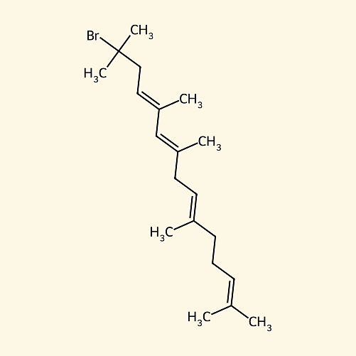 CC(C)=CCC/C(C)=C/C/C(C)=C/C(C)=C/CC(C)(C)Br